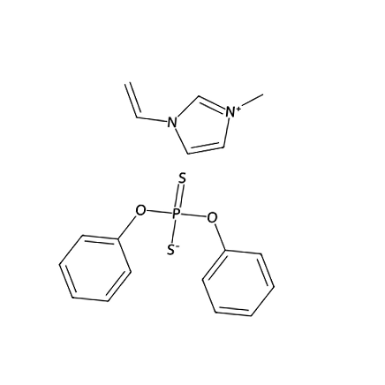 C=Cn1cc[n+](C)c1.S=P([S-])(Oc1ccccc1)Oc1ccccc1